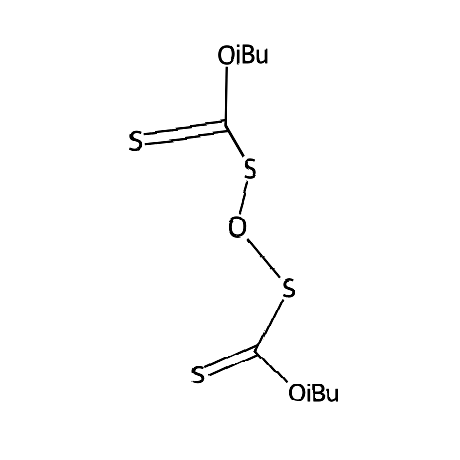 CC(C)COC(=S)SOSC(=S)OCC(C)C